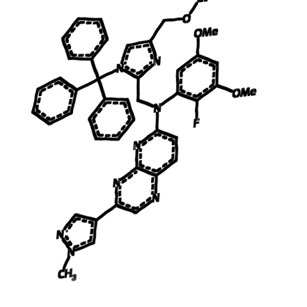 CCOCc1cn(C(c2ccccc2)(c2ccccc2)c2ccccc2)c(CN(c2ccc3ncc(-c4cnn(C)c4)nc3n2)c2cc(OC)cc(OC)c2F)n1